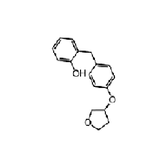 Oc1ccccc1Cc1ccc(O[C@H]2CCOC2)cc1